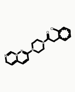 O=C(Cc1ccccc1Cl)N1CCN(C2=NN3C=NCC=C3C=C2)CC1